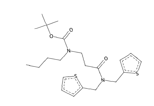 CCCCN(CCC(=O)N(Cc1cccs1)Cc1cccs1)C(=O)OC(C)(C)C